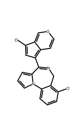 Clc1cc(C2=NCc3c(Cl)cccc3-n3cccc32)c2ccocc1-2